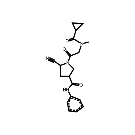 CN(CC(=O)N1CC(C(=O)Nc2ccccc2)CC1C#N)C(=O)C1CC1